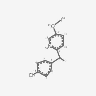 CC(c1ccc(Cl)cc1)c1ccc(OI)cn1